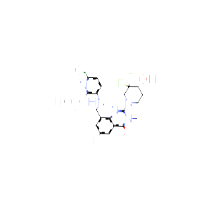 C[C@H](Nc1ccc(Cl)nc1C(=O)O)c1cc(F)cc2c(=O)n(C)c(N3CC[C@@H](O)C(F)(F)C3)nc12